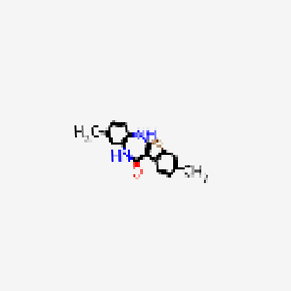 Cc1ccc2c(c1)NC(=O)c1c(sc3cc(C)ccc13)N2